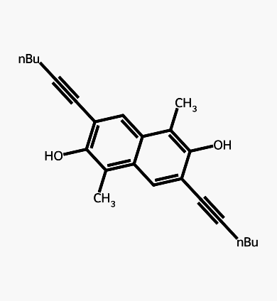 CCCCC#Cc1cc2c(C)c(O)c(C#CCCCC)cc2c(C)c1O